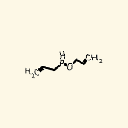 C=CCOPCC=C